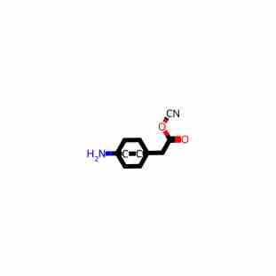 N#COC(=O)CC12CCC(N)(CC1)CC2